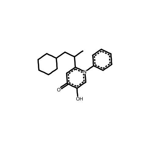 CC(CC1CCCCC1)c1cc(=O)c(O)cn1-c1ccccc1